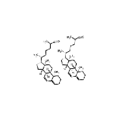 CC(C=O)CCC[C@@H](C)[C@H]1CC[C@H]2[C@@H]3C=CC4=CCCC[C@]4(C)[C@H]3CC[C@]12C.CC(C=O)CCC[C@@H](C)[C@H]1CC[C@H]2[C@@H]3C=CC4=CCCC[C@]4(C)[C@H]3CC[C@]12C